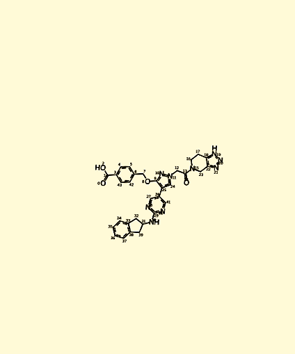 O=C(O)c1ccc(COc2nn(CC(=O)N3CCc4[nH]nnc4C3)cc2-c2cnc(NC3Cc4ccccc4C3)nc2)cc1